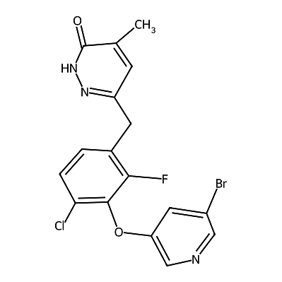 Cc1cc(Cc2ccc(Cl)c(Oc3cncc(Br)c3)c2F)n[nH]c1=O